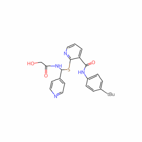 CC(C)(C)c1ccc(NC(=O)c2cccnc2SC(NC(=O)CO)c2ccncc2)cc1